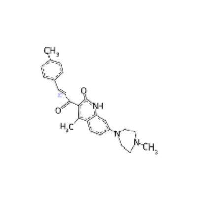 Cc1ccc(/C=C/C(=O)c2c(C)c3ccc(N4CCN(C)CC4)cc3[nH]c2=O)cc1